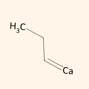 CC[CH]=[Ca]